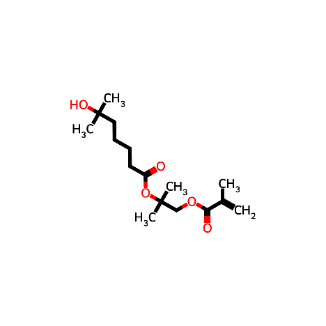 C=C(C)C(=O)OCC(C)(C)OC(=O)CCCCC(C)(C)O